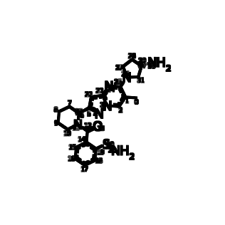 Cc1cn2nc([C@@H]3CCCCN3C(=O)c3ccccc3SN)cc2nc1N1CC[C@H](N)C1